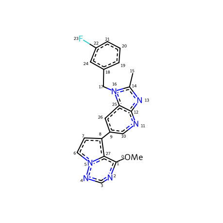 COc1ncnn2ccc(-c3cnc4nc(C)n(Cc5cccc(F)c5)c4c3)c12